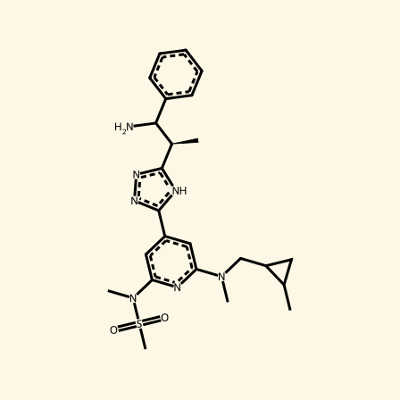 CC1CC1CN(C)c1cc(-c2nnc([C@H](C)C(N)c3ccccc3)[nH]2)cc(N(C)S(C)(=O)=O)n1